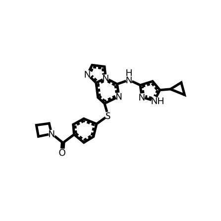 O=C(c1ccc(Sc2cc3nccn3c(Nc3cc(C4CC4)[nH]n3)n2)cc1)N1CCC1